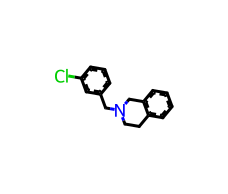 Clc1cccc(CN2CCc3ccccc3C2)c1